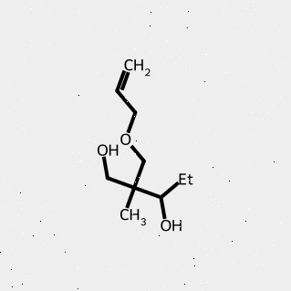 C=CCOCC(C)(CO)C(O)CC